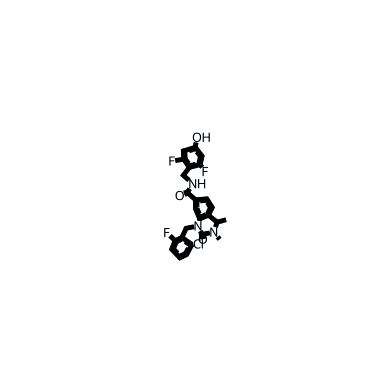 CC1c2ccc(C(=O)NCc3c(F)cc(O)cc3F)cc2N(Cc2c(F)cccc2Cl)C(=O)N1C